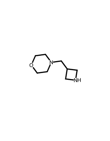 C1CN(CC2CNC2)CCO1